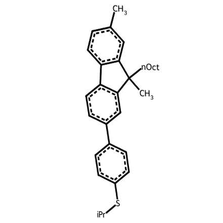 CCCCCCCCC1(C)c2cc(C)ccc2-c2ccc(-c3ccc(SC(C)C)cc3)cc21